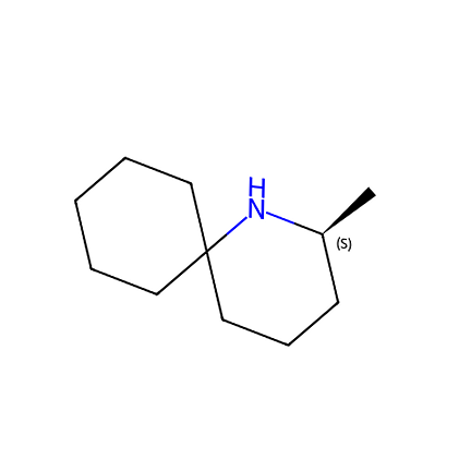 C[C@H]1CCCC2(CCCCC2)N1